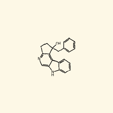 OC1(Cc2ccccc2)CCc2ncc3[nH]c4ccccc4c3c21